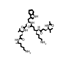 CC(=O)N[C@H](CCC(=O)N[C@@H](CCCCN)CCC(=O)N[C@H](CCC(=O)N[C@H](CCC(=O)N[C@H](C)CCCCN)C(C)C)Cc1c[nH]c2ccccc12)C(C)C